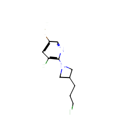 FCCCC1CN(c2ncc(SF)cc2F)C1